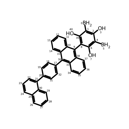 Bc1c(O)c(B)c(O)c(-c2c3ccccc3c(-c3ccc(-c4cccc5ccccc45)cc3)c3ccccc23)c1O